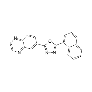 c1ccc2c(-c3nnc(-c4ccc5nccnc5c4)o3)cccc2c1